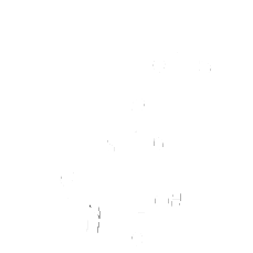 CC(=O)NC(C(=O)O)C(C)(C)SC(=O)OCOC(=O)C(C)C